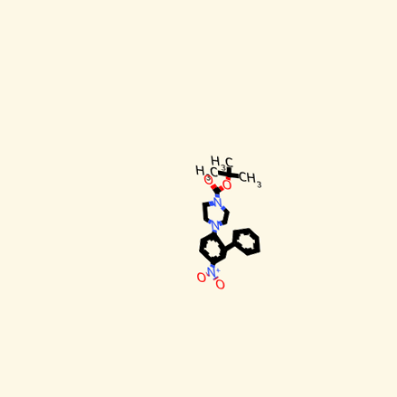 CC(C)(C)OC(=O)N1CCN(c2ccc([N+](=O)[O-])cc2-c2ccccc2)CC1